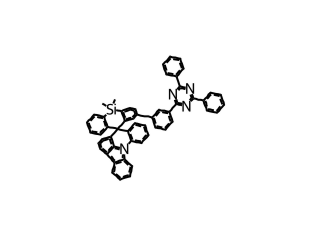 C[Si]1(C)c2ccccc2C2(c3ccccc3-n3c4ccccc4c4cccc2c43)c2cc(-c3cccc(-c4nc(-c5ccccc5)nc(-c5ccccc5)n4)c3)ccc21